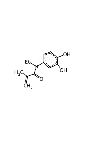 C=C(C)C(=O)N(CC)c1ccc(O)c(O)c1